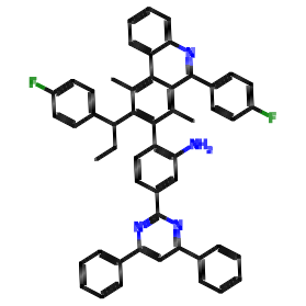 CCC(c1ccc(F)cc1)c1c(-c2ccc(-c3nc(-c4ccccc4)cc(-c4ccccc4)n3)cc2N)c(C)c2c(-c3ccc(F)cc3)nc3ccccc3c2c1C